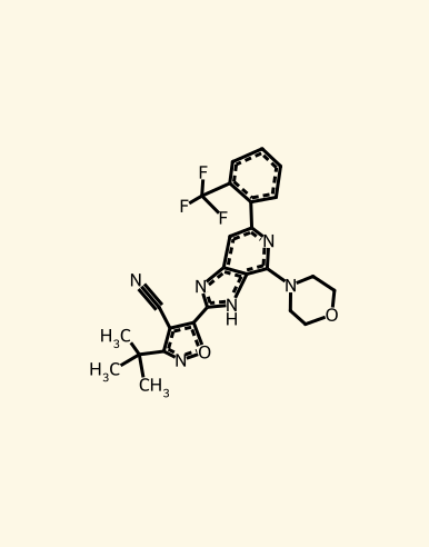 CC(C)(C)c1noc(-c2nc3cc(-c4ccccc4C(F)(F)F)nc(N4CCOCC4)c3[nH]2)c1C#N